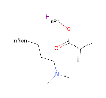 C=C(C)C(=O)OCCC.CCCCCCCCCCCCN(C)C.I